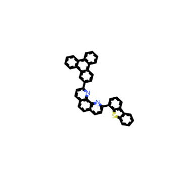 c1ccc2c(c1)sc1c(-c3ccc4ccc5ccc(-c6ccc7c8ccccc8c8ccccc8c7c6)nc5c4n3)cccc12